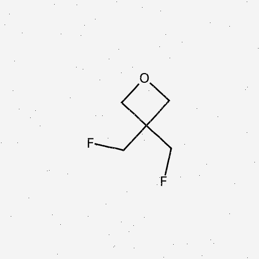 FCC1(CF)COC1